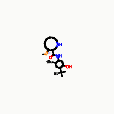 CCC(C)(C)c1cc(C(C)(C)C)c(NC(=O)c2c[nH]cccccc/c2=P\C)cc1O